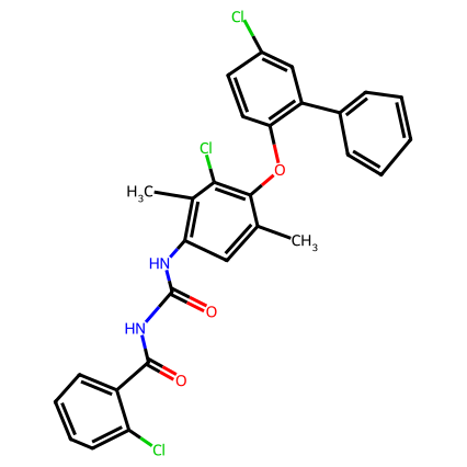 Cc1cc(NC(=O)NC(=O)c2ccccc2Cl)c(C)c(Cl)c1Oc1ccc(Cl)cc1-c1ccccc1